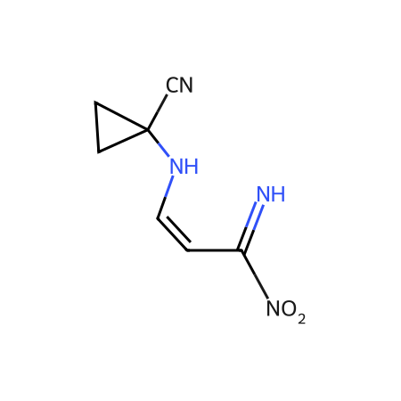 N#CC1(N/C=C\C(=N)[N+](=O)[O-])CC1